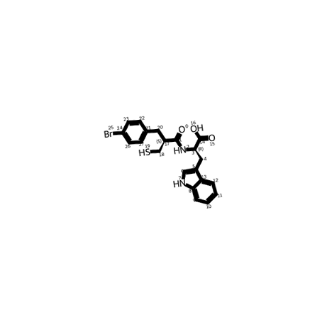 O=C(N[C@H](Cc1c[nH]c2ccccc12)C(=O)O)[C@@H](CS)Cc1ccc(Br)cc1